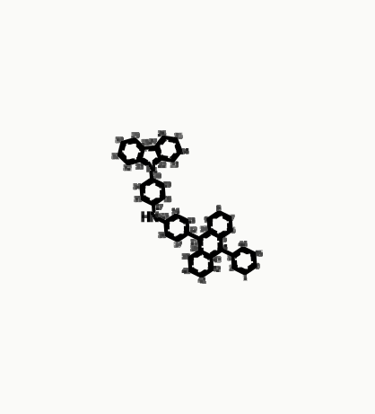 c1ccc(-c2c3ccccc3c(-c3ccc(Nc4ccc(-n5c6ccccc6c6ccccc65)cc4)cc3)c3ccccc23)cc1